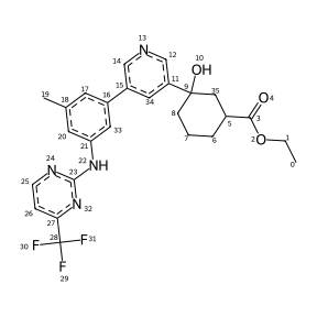 CCOC(=O)C1CCCC(O)(c2cncc(-c3cc(C)cc(Nc4nccc(C(F)(F)F)n4)c3)c2)C1